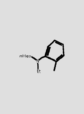 CCCCCCN(CC)c1ccccc1C